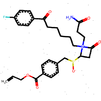 C=CCOC(=O)c1ccc(C[S+]([O-])C2CC(=O)[N+]2(CCCCCC(=O)c2ccc(F)cc2)CCC(N)=O)cc1